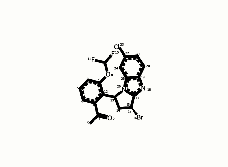 CC(=O)c1cccc(OC(F)F)c1C1C[C@H](Br)c2nc3ccc(Cl)cc3n21